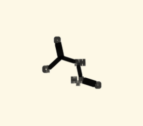 O=[PH2]NC(=O)Cl